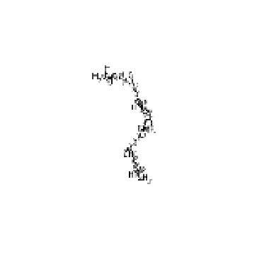 CCC(CCCCCOC(=O)NC)CCCCCOC(=O)Nc1ccc(Cc2ccc(NC(=O)OCCCCCC(CC)CCCCCOC(=O)NC)cc2)cc1